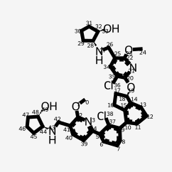 COc1nc(-c2cccc(-c3cccc4c3CC[C@@H]4Oc3nc(OC)c(CN[C@@H]4CCC[C@@H]4O)cc3Cl)c2Cl)ccc1CN[C@@H]1CCC[C@@H]1O